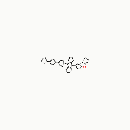 c1ccc(-c2ccc(-c3ccc(-c4c5ccccc5c(-c5ccc6oc7ccccc7c6c5)c5ccccc45)cc3)cc2)cc1